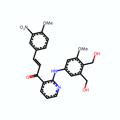 COc1ccc(/C=C/C(=O)c2cccnc2Nc2cc(CO)c(CO)c(OC)c2)cc1[N+](=O)[O-]